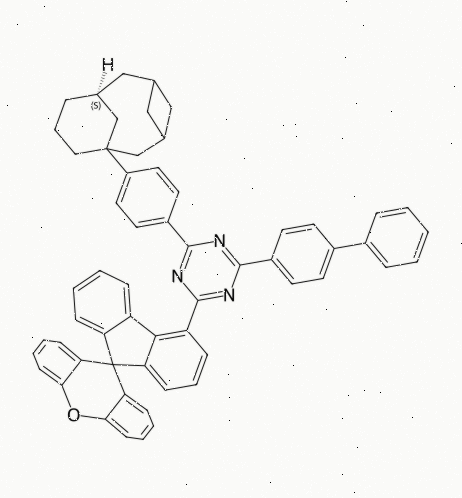 c1ccc(-c2ccc(-c3nc(-c4ccc(C56CCC[C@@H](CC7CC(C7)C5)C6)cc4)nc(-c4cccc5c4-c4ccccc4C54c5ccccc5Oc5ccccc54)n3)cc2)cc1